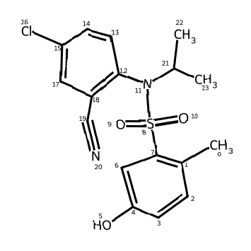 Cc1ccc(O)cc1S(=O)(=O)N(c1ccc(Cl)cc1C#N)C(C)C